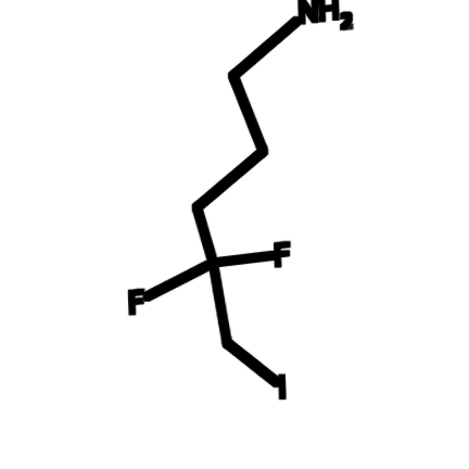 NCCCC(F)(F)CI